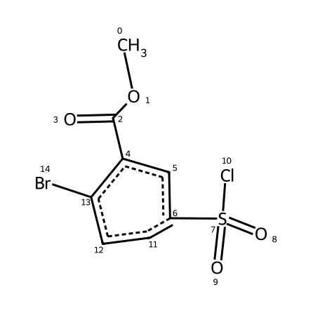 COC(=O)c1cc(S(=O)(=O)Cl)ccc1Br